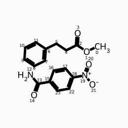 COC(=O)CCc1ccccc1.NC(=O)c1ccc([N+](=O)[O-])cc1